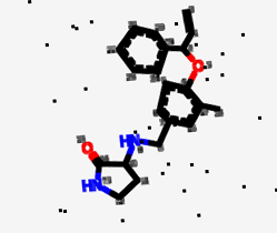 C=CC(Oc1ccc(CNC2CCNC2=O)cc1C)c1ccccc1